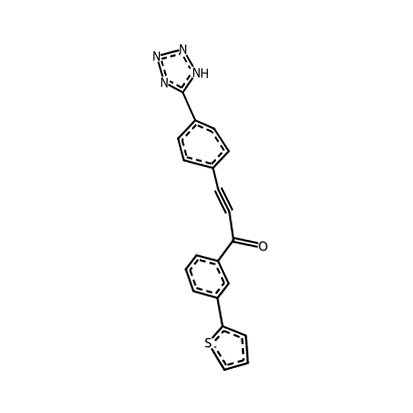 O=C(C#Cc1ccc(-c2nnn[nH]2)cc1)c1cccc(-c2cccs2)c1